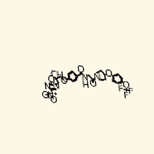 C[C@@]1(COc2ccc(C(=O)NCC(=O)N3CCC(Oc4ccc(OC(F)(F)F)cc4)CC3)cc2)Cn2cc([N+](=O)[O-])nc2O1